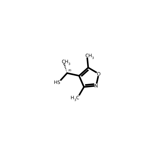 Cc1noc(C)c1[C@@H](C)S